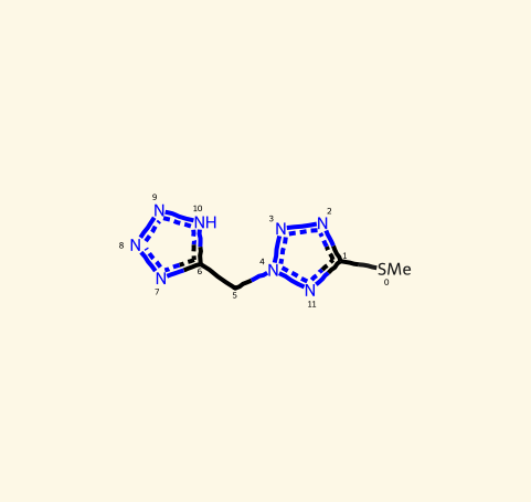 CSc1nnn(Cc2nnn[nH]2)n1